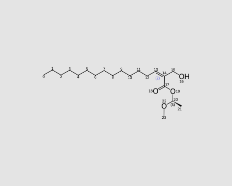 CCCCCCCCCCCCC/C=C(/CO)C(=O)O[C@@H](C)OC